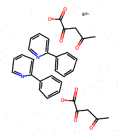 CC(=O)CC(=O)C(=O)[O-].CC(=O)CC(=O)C(=O)[O-].[Ir+2].c1ccc(-c2ccccn2)cc1.c1ccc(-c2ccccn2)cc1